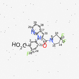 O=C(O)c1cc(-n2c(C(=O)N3CCC(F)(F)CC3)cc3cccnc32)ccc1F